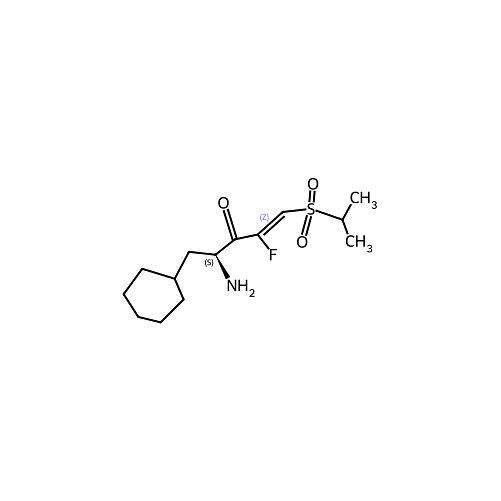 CC(C)S(=O)(=O)/C=C(\F)C(=O)[C@@H](N)CC1CCCCC1